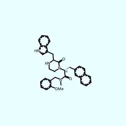 COc1ccccc1CN(C)C(=O)[C@@H](Cc1ccc2ccccc2c1)N1CCNC(Cc2c[nH]c3ccccc23)C1=O